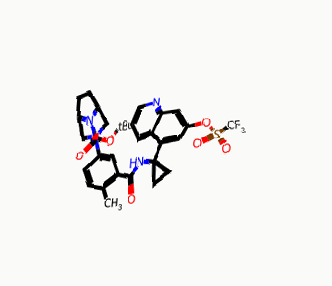 Cc1ccc(N2CC3CCC(C2)N3C(=O)OC(C)(C)C)cc1C(=O)NC1(c2cc(OS(=O)(=O)C(F)(F)F)cc3ncccc23)CC1